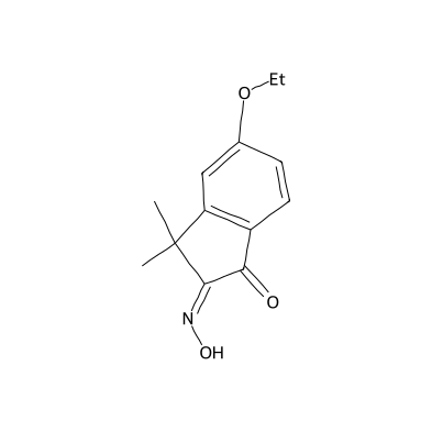 CCOc1ccc2c(c1)C(C)(C)/C(=N/O)C2=O